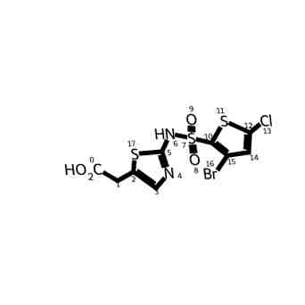 O=C(O)Cc1cnc(NS(=O)(=O)c2sc(Cl)cc2Br)s1